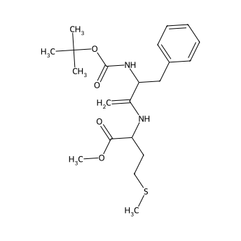 C=C(NC(CCSC)C(=O)OC)C(Cc1ccccc1)NC(=O)OC(C)(C)C